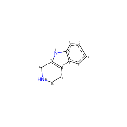 c1ccc2c(c1)[N]C1=C2CCNC1